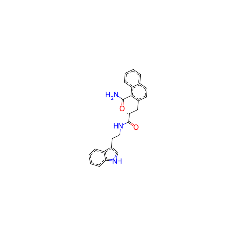 NC(=O)c1c(C[CH]C(=O)NCCc2c[nH]c3ccccc23)ccc2ccccc12